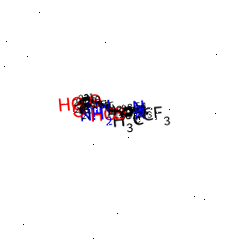 Cn1c(C(F)(F)F)cnc1-c1ccc(OCC(O)CNCCOc2ccc(O)c(C(N)=O)c2)cc1